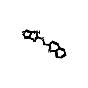 c1ccc2nc(CSc3nc4cscc4[nH]3)ccc2c1